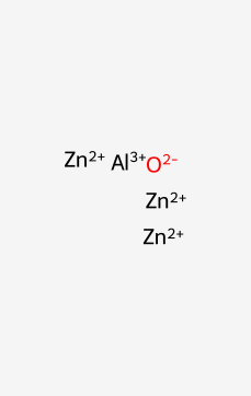 [Al+3].[O-2].[Zn+2].[Zn+2].[Zn+2]